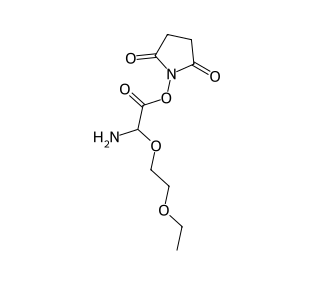 CCOCCOC(N)C(=O)ON1C(=O)CCC1=O